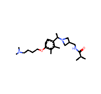 Cc1c(OCCCCN(C)C)ccc(C(C)N2CC(CNC(=O)C(C)C)C2)c1C